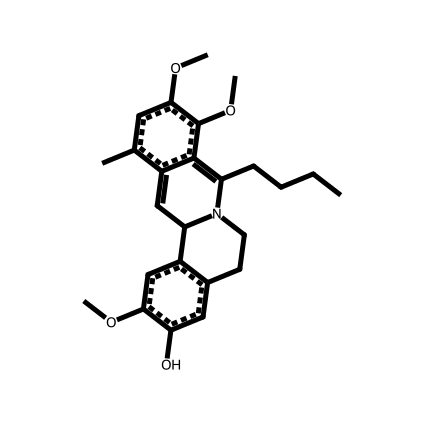 CCCCC1=c2c(OC)c(OC)cc(C)c2=CC2c3cc(OC)c(O)cc3CCN12